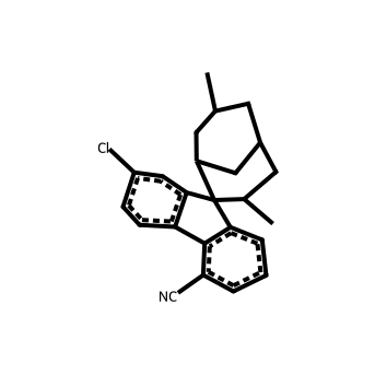 CC1CC2CC(C)C3(c4cc(Cl)ccc4-c4c(C#N)cccc43)C(C1)C2